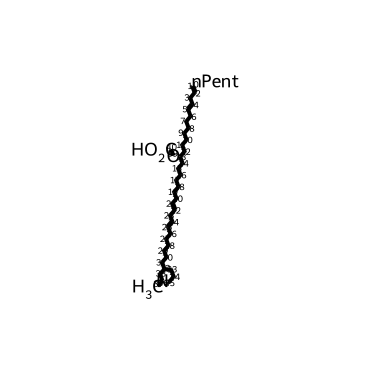 CCCCCC=CCC=CCCCCCCCC(CCCCCCCC=CCC=CCCCCCCC1CCCN(C)C1)OC(=O)O